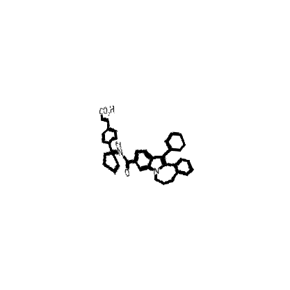 O=C(O)C=Cc1ccc(C2(NC(=O)c3ccc4c(C5CCCCC5)c5n(c4c3)CCCc3ccccc3-5)CCCC2)cc1